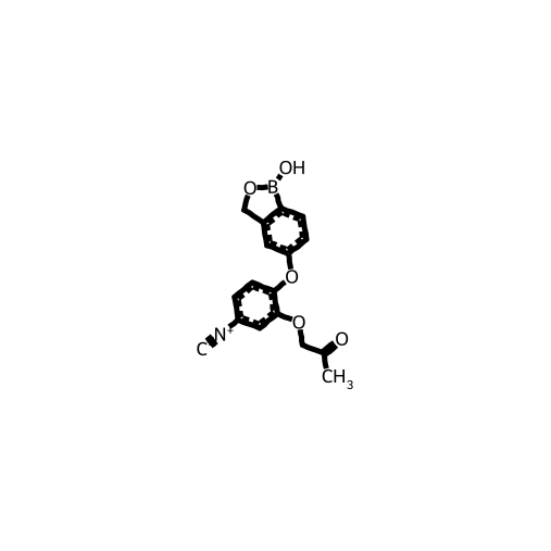 [C-]#[N+]c1ccc(Oc2ccc3c(c2)COB3O)c(OCC(C)=O)c1